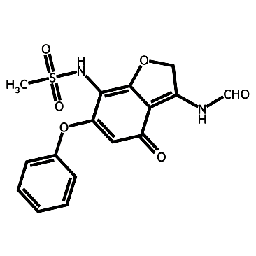 CS(=O)(=O)NC1=C2OCC(NC=O)=C2C(=O)C=C1Oc1ccccc1